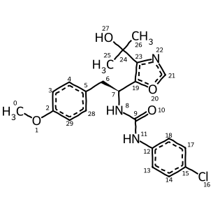 COc1ccc(C[C@H](NC(=O)Nc2ccc(Cl)cc2)c2ocnc2C(C)(C)O)cc1